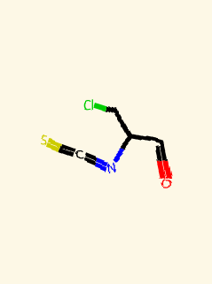 O=CC(CCl)N=C=S